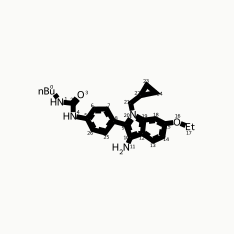 CCCCNC(=O)Nc1ccc(-c2c(N)c3ccc(OCC)cc3n2CC2CC2)cc1